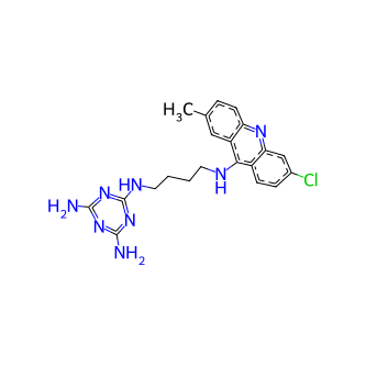 Cc1ccc2nc3cc(Cl)ccc3c(NCCCCNc3nc(N)nc(N)n3)c2c1